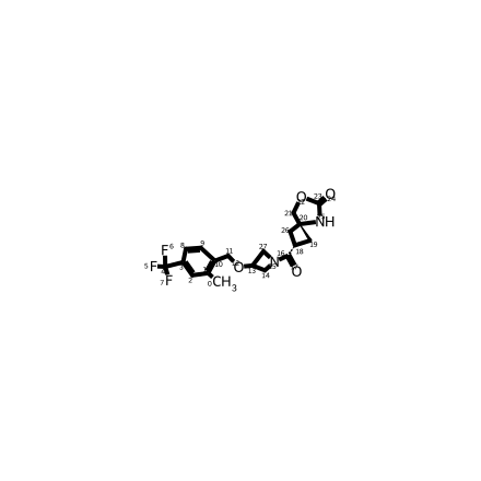 Cc1cc(C(F)(F)F)ccc1COC1CN(C(=O)[C@H]2C[C@]3(COC(=O)N3)C2)C1